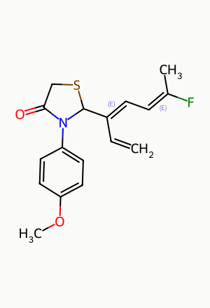 C=C/C(=C\C=C(/C)F)C1SCC(=O)N1c1ccc(OC)cc1